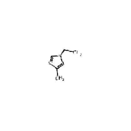 [CH2]Cn1cnc(C)c1